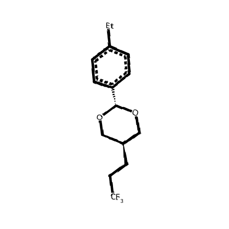 CCc1ccc([C@H]2OC[C@H](CCC(F)(F)F)CO2)cc1